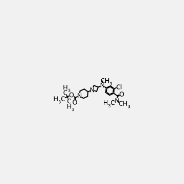 CN(C)C(=O)c1ccc(N(C)C2CN(C3CCN(C(=O)OC(C)(C)C)CC3)C2)cc1Cl